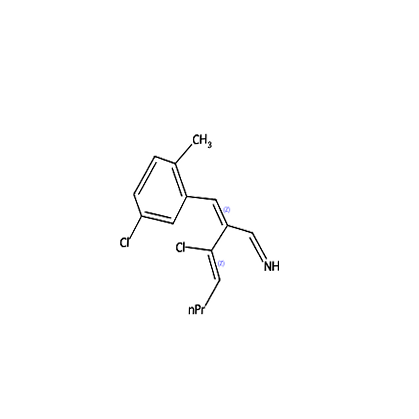 CCC/C=C(Cl)/C(C=N)=C\c1cc(Cl)ccc1C